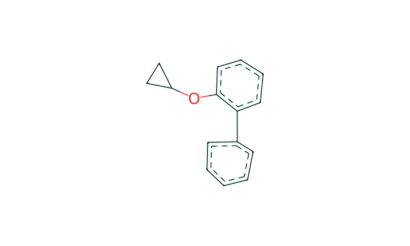 c1ccc(-c2ccccc2OC2CC2)cc1